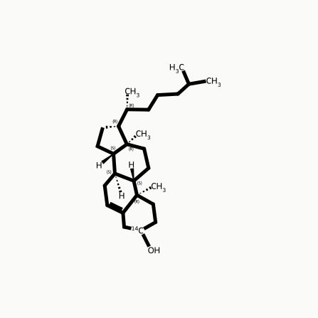 CC(C)CCC[C@@H](C)[C@H]1CC[C@H]2[C@@H]3CC=C4C[14CH](O)CC[C@]4(C)[C@H]3CC[C@]12C